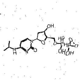 CC(C)Nc1ccn([C@H]2CC(O)[C@@H](CO[PH](O)(O)[PH]3(O)OO3)O2)c(=O)n1